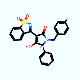 O=C1C(C2=NS(=O)(=O)c3ccccc32)=C(O)[C@H](c2ccccc2)N1Cc1ccc(F)cc1